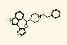 O=C(c1cccc2[nH]cc(-c3cccs3)c12)N1CCN(CCc2ccccc2)CC1